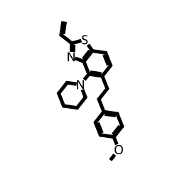 C=Cc1nc2c(N3CCCCC3)c(CCc3ccc(OC)cc3)ccc2s1